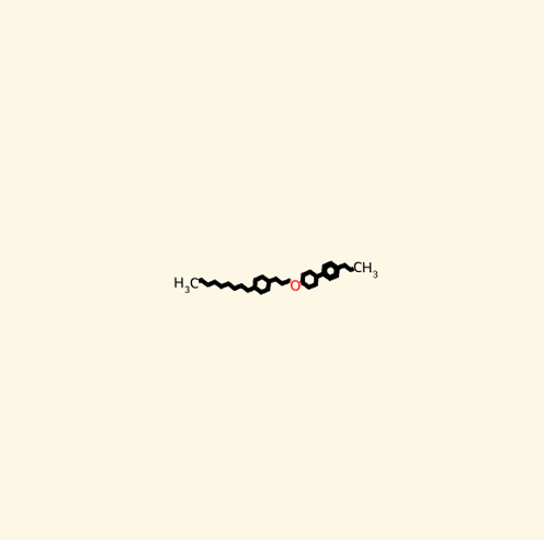 CCCCCCCCCC1CCC(CCCOC2CCC(c3ccc(CCC)cc3)CC2)CC1